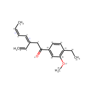 C=C/C(=C\C=C/C)CC(=O)c1ccc(CC)c(OC)c1